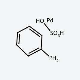 O=S(=O)(O)O.Pc1ccccc1.[Pd]